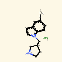 Cl.N#Cc1ccc2c(ccn2CC2CCNC2)c1